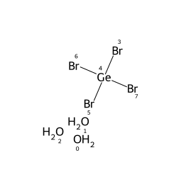 O.O.O.[Br][Ge]([Br])([Br])[Br]